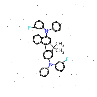 CC1(C)c2cc(N(c3ccccc3)c3cccc(F)c3)ccc2-c2c1cc(N(c1ccccc1)c1cccc(F)c1)c1ccccc21